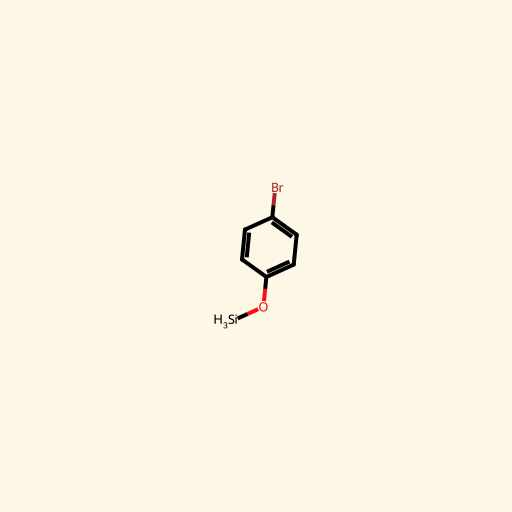 [SiH3]Oc1ccc(Br)cc1